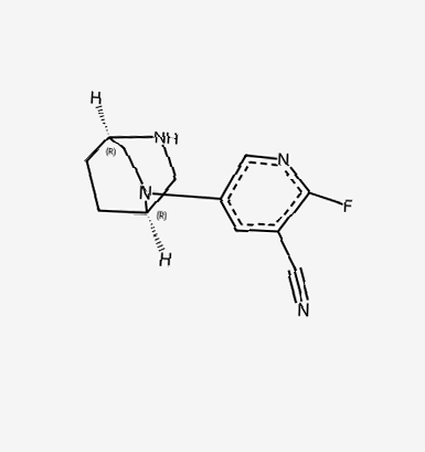 N#Cc1cc(N2C[C@H]3CC[C@@H]2CN3)cnc1F